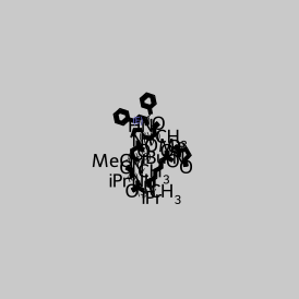 CC[C@H](C)[C@@H]([C@@H](CC(=O)N1CCC[C@H]1[C@H](OC)[C@@H](C)C(=O)N[C@H](/C=C/c1ccccc1)Cc1ccccc1)OC)N(C)C(=O)[C@@H](NC(=O)[C@H](C(C)C)N(C)CCCCCC(=O)ON1C(=O)CCC1=O)C(C)C